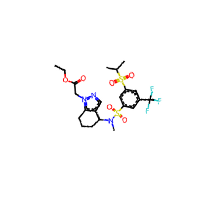 CCOC(=O)Cn1ncc2c1CCCC2N(C)S(=O)(=O)c1cc(C(F)(F)F)cc(S(=O)(=O)C(C)C)c1